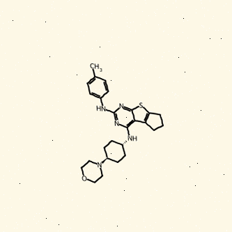 Cc1ccc(Nc2nc(N[C@H]3CC[C@H](N4CCOCC4)CC3)c3c4c(sc3n2)CCC4)cc1